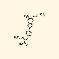 CCCCC(=O)N(C)Cc1cc(-c2ccc(CC(OCC)C(=O)O)cc2)cs1